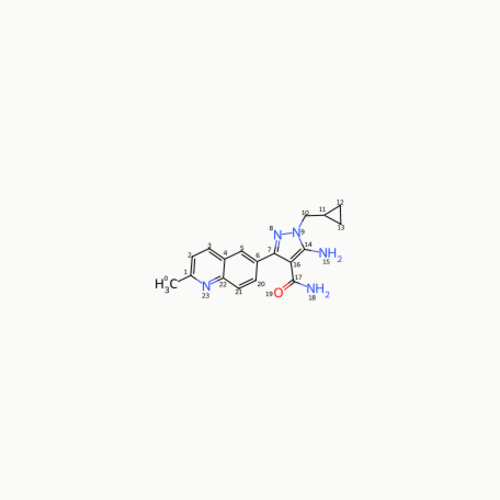 Cc1ccc2cc(-c3nn(CC4CC4)c(N)c3C(N)=O)ccc2n1